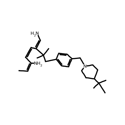 C\C=C(N)/C=C\C(=C/N)C(C)(C)Cc1ccc(CN2CCC(C(C)(C)C)CC2)cc1